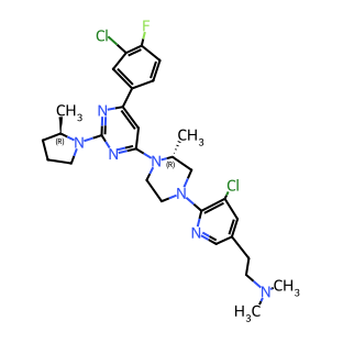 C[C@@H]1CN(c2ncc(CCN(C)C)cc2Cl)CCN1c1cc(-c2ccc(F)c(Cl)c2)nc(N2CCC[C@H]2C)n1